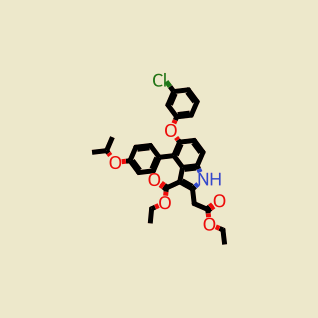 CCOC(=O)Cc1[nH]c2ccc(Oc3cccc(Cl)c3)c(-c3ccc(OC(C)C)cc3)c2c1C(=O)OCC